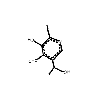 Cc1ncc(C(C)O)c(C=O)c1O